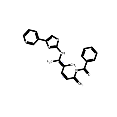 C=C(/C=C\C(C)=C(/C)Nc1nc(-c2cccnc2)cs1)NC(=O)c1ccccc1